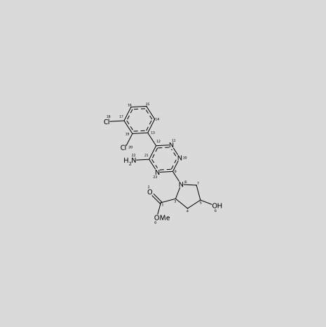 COC(=O)C1CC(O)CN1c1nnc(-c2cccc(Cl)c2Cl)c(N)n1